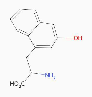 NC(Cc1cc(O)cc2ccccc12)C(=O)O